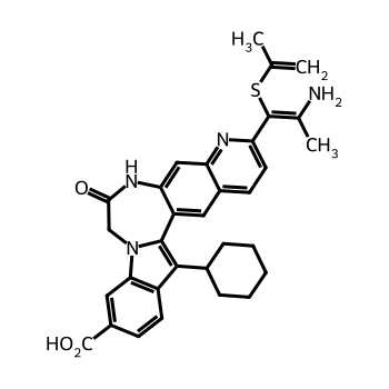 C=C(C)S/C(=C(/C)N)c1ccc2cc3c(cc2n1)NC(=O)Cn1c-3c(C2CCCCC2)c2ccc(C(=O)O)cc21